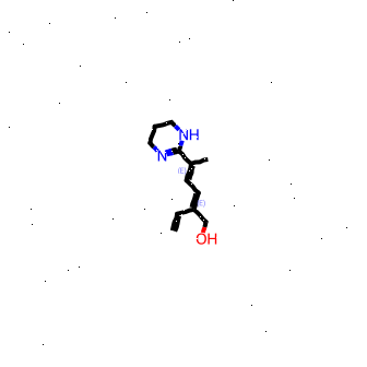 C=C/C(=C\C=C(/C)C1=NCCCN1)CO